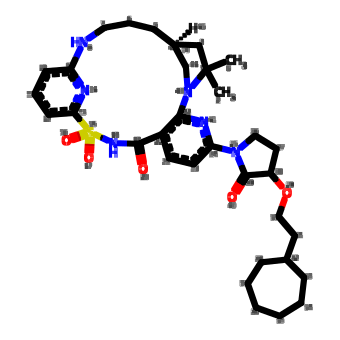 CC1(C)C[C@@H]2CCCNc3cccc(n3)S(=O)(=O)NC(=O)c3ccc(N4CCC(OCCC5CCCCCC5)C4=O)nc3N1C2